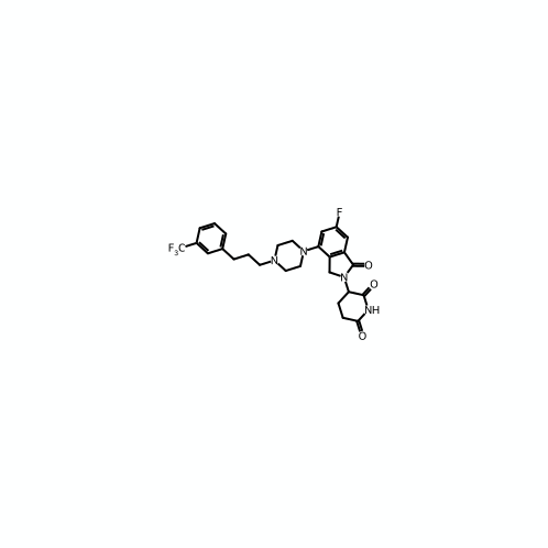 O=C1CCC(N2Cc3c(cc(F)cc3N3CCN(CCCc4cccc(C(F)(F)F)c4)CC3)C2=O)C(=O)N1